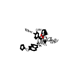 COc1cc(C(F)(F)C(NS(=O)(=O)c2ccc3cc(OC4CCCC4)ccc3c2)C(=O)N2C3CCC2CC(NC(=O)OC(C)(C)C)C3)ccc1Br